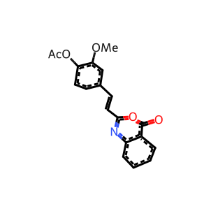 COc1cc(C=Cc2nc3ccccc3c(=O)o2)ccc1OC(C)=O